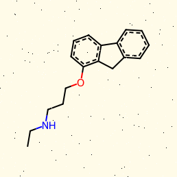 CCNCCCOc1cccc2c1Cc1ccccc1-2